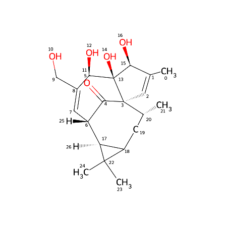 CC1=C[C@]23C(=O)[C@@H](C=C(CO)[C@@H](O)[C@]2(O)[C@H]1O)[C@H]1C(C[C@H]3C)C1(C)C